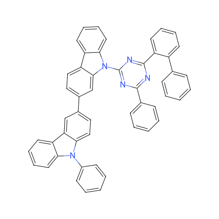 c1ccc(-c2nc(-c3ccccc3-c3ccccc3)nc(-n3c4ccccc4c4ccc(-c5ccc6c(c5)c5ccccc5n6-c5ccccc5)cc43)n2)cc1